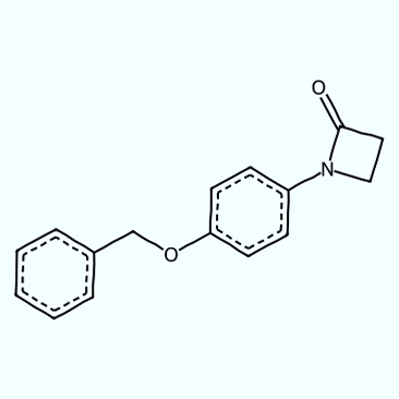 O=C1CCN1c1ccc(OCc2ccccc2)cc1